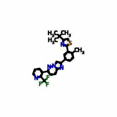 Cc1ccc(-c2cn3nc(-c4cccnc4C(F)(F)F)ccc3n2)cc1-c1nc(C(C)(C)C)cs1